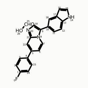 Fc1ccc(-c2ccn3c(-c4ccc5[nH]ccc5c4)cnc3c2)cc1.O=CO